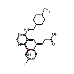 CN1CCC(CNc2ncnc(=C\O)/c2=C\C(=C/CC(=O)O)c2ccc(F)cc2)CC1